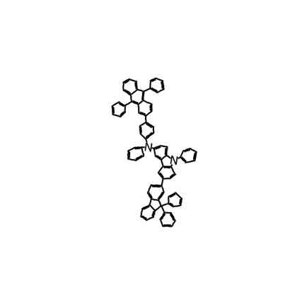 c1ccc(-c2c3ccccc3c(-c3ccccc3)c3cc(-c4ccc(N(c5ccccc5)c5ccc6c(c5)c5cc(-c7ccc8c(c7)C(c7ccccc7)(c7ccccc7)c7ccccc7-8)ccc5n6-c5ccccc5)cc4)ccc23)cc1